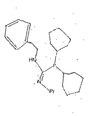 CC(C)/N=C(/NCc1ccccc1)P(C1CCCCC1)C1CCCCC1